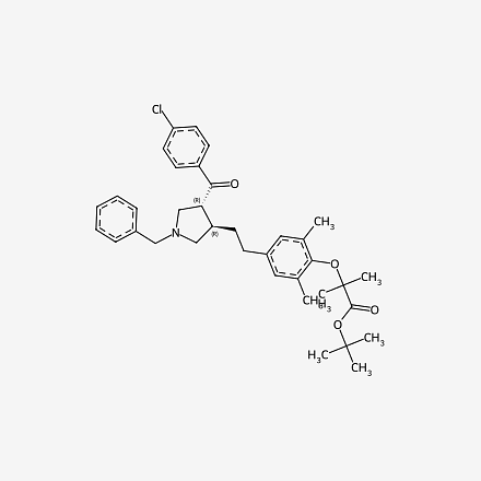 Cc1cc(CC[C@H]2CN(Cc3ccccc3)C[C@@H]2C(=O)c2ccc(Cl)cc2)cc(C)c1OC(C)(C)C(=O)OC(C)(C)C